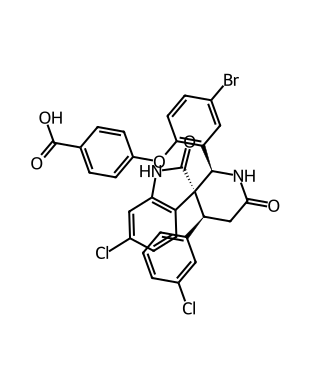 O=C1C[C@@H](c2cccc(Cl)c2)[C@]2(C(=O)Nc3cc(Cl)ccc32)[C@@H](c2cc(Br)ccc2Oc2ccc(C(=O)O)cc2)N1